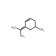 CC(C)=C1C=CCC(C)C1